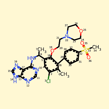 Cc1c(Cl)cc(C(C)Nc2ncnc3[nH]cnc23)c(OCCN2CCOCC2)c1-c1ccc(S(C)(=O)=O)cc1